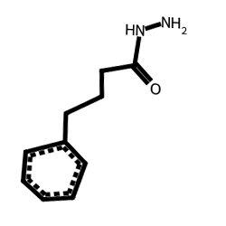 NNC(=O)CCCc1ccccc1